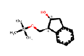 CC(C)(C)[Si](C)(C)OC[C@@H]1c2ccccc2C[C@@H]1O